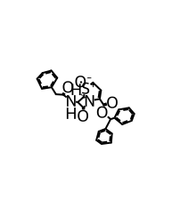 O=C(Cc1ccccc1)NC1C(=O)N2C(C(=O)OC(c3ccccc3)c3ccccc3)=CC[S+]([O-])[C@H]12